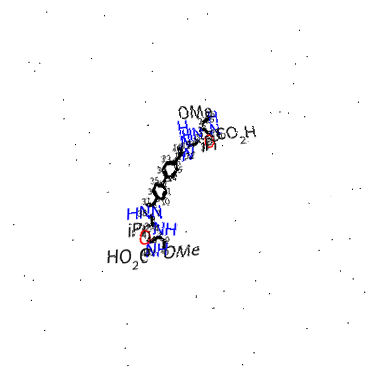 COCCC(NC(c1nc(-c2ccc(-c3ccc(-c4c[nH]c([C@H](N[C@@H](CCOC)C(=O)NC(=O)O)C(C)C)n4)cc3)cc2)c[nH]1)C(C)C)C(=O)NC(=O)O